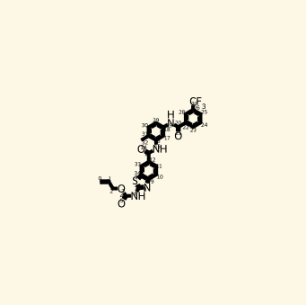 C=CCOC(=O)Nc1nc2ccc(C(=O)Nc3cc(NC(=O)c4cccc(C(F)(F)F)c4)ccc3C)cc2s1